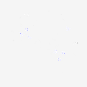 CC1(C)c2ccccc2-c2cc3c4cc(-c5ccc6c7c(-c8ccc(-c9cc(-c%10cccc(C#N)c%10)nc(-n%10c%11ccccc%11c%11ccc%12c%13ccccc%13sc%12c%11%10)n9)cc8)cccc7n(-c7nc(-c8ccccc8)cc(-c8cccc(C#N)c8)n7)c6c5)ccc4n(-c4ccccc4)c3cc21